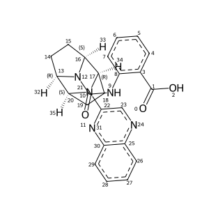 O=C(O)c1ccccc1NC(=O)N1[C@@H]2CC[C@H]1[C@H]1CC[C@@H]2N1c1cnc2ccccc2n1